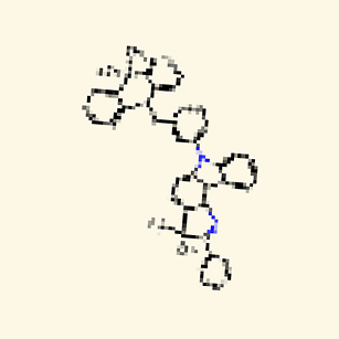 CC1(C)C(c2ccccc2)=Nc2c1ccc1c2c2ccccc2n1-c1cccc(CC2c3ccccc3C(C)(C)c3ccccc32)c1